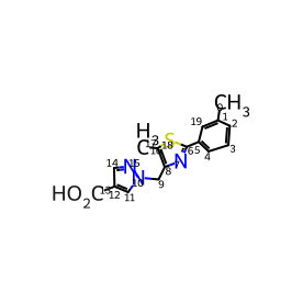 Cc1cccc(-c2nc(Cn3cc(C(=O)O)cn3)c(C)s2)c1